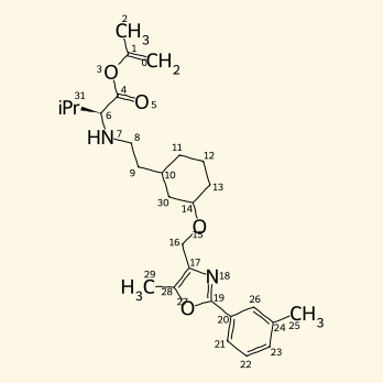 C=C(C)OC(=O)[C@@H](NCCC1CCCC(OCc2nc(-c3cccc(C)c3)oc2C)C1)C(C)C